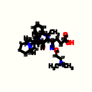 C[C@@H]1C[C@H]2CC(N3[C@@H]4CCC[C@H]3C[C@@H](n3c(=O)c(/C(CCC(=O)O)=N/OCCN(C)C)nc5ccccc53)C4)C[C@@H](C1)C2